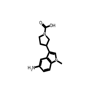 Cn1cc(C2CCN(C(=O)O)C2)c2cc(N)ccc21